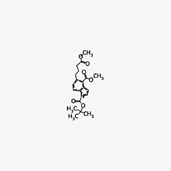 COC(=O)CCCc1ccc2c(ccn2C(=O)OC(C)(C)C)c1C(=O)OC